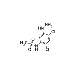 CS(=O)(=O)Nc1cc(NN)c(Cl)cc1Cl